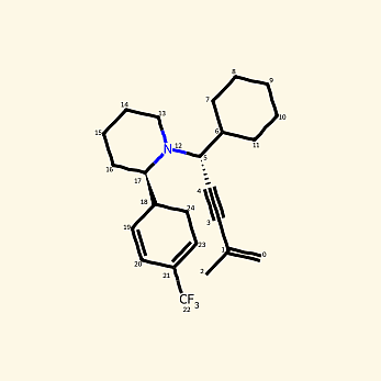 C=C(C)C#C[C@@H](C1CCCCC1)N1CCCC[C@@H]1C1C=CC(C(F)(F)F)=CC1